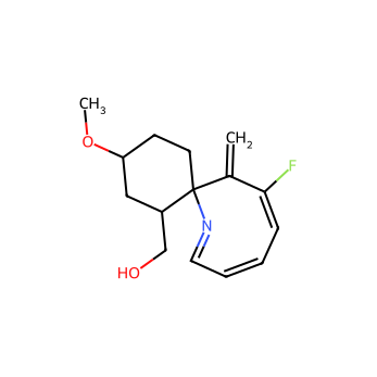 C=C1\C(F)=C/C=C\C=N\C12CCC(OC)CC2CO